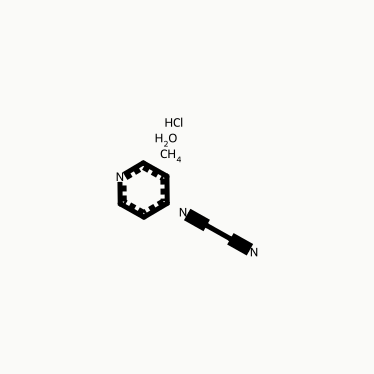 C.Cl.N#CC#N.O.c1ccncc1